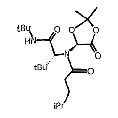 CC(C)CCC(=O)N([C@@H](C(=O)NC(C)(C)C)C(C)(C)C)[C@H]1OC(C)(C)OC1=O